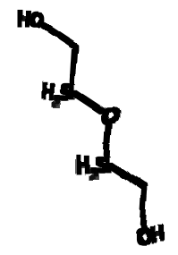 OC[SiH2]O[SiH2]CO